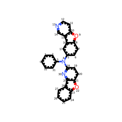 c1ccc(N(c2ccc3oc4ccncc4c3c2)c2ccc3oc4ccccc4c3n2)cc1